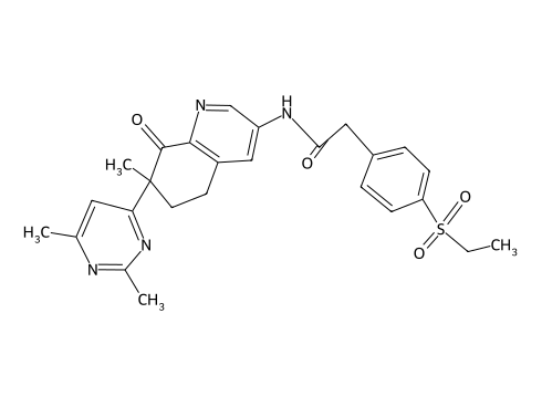 CCS(=O)(=O)c1ccc(CC(=O)Nc2cnc3c(c2)CCC(C)(c2cc(C)nc(C)n2)C3=O)cc1